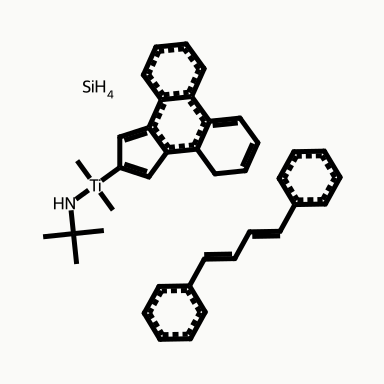 C(C=Cc1ccccc1)=Cc1ccccc1.CC(C)(C)[NH][Ti]([CH3])([CH3])[C]1=Cc2c3c(c4ccccc4c2=C1)=CC=CC3.[SiH4]